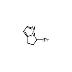 CC(C)C1CCc2ccnn21